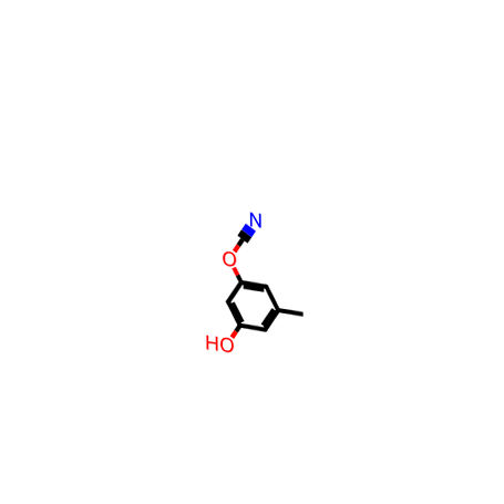 Cc1cc(O)cc(OC#N)c1